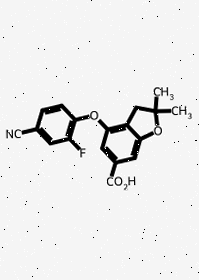 CC1(C)Cc2c(Oc3ccc(C#N)cc3F)cc(C(=O)O)cc2O1